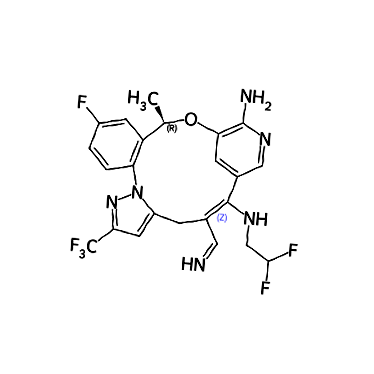 C[C@H]1Oc2cc(cnc2N)/C(NCC(F)F)=C(/C=N)Cc2cc(C(F)(F)F)nn2-c2ccc(F)cc21